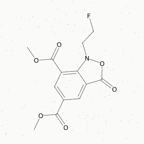 COC(=O)c1cc(C(=O)OC)c2c(c1)c(=O)on2CCF